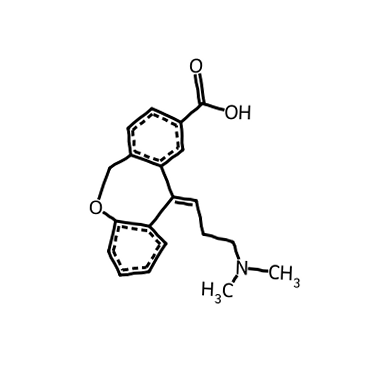 CN(C)CCC=C1c2cc(C(=O)O)ccc2COc2ccccc21